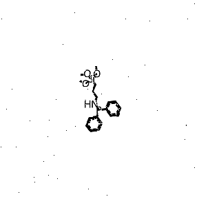 CO[Si](CCCNP(c1ccccc1)c1ccccc1)(OC)OC